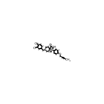 CC#CCOc1ccc(S(=O)(=O)C2(C(=O)O)CCN(Cc3ccc(Cl)c(Cl)c3)CC2)cc1